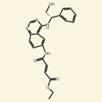 CCOC(=O)/C=C/C(=O)Nc1ccc2ncnc(N[C@H](CO)c3ccccc3)c2c1